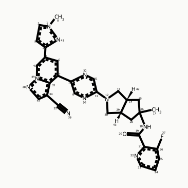 Cn1ccc(-c2cc(-c3cnc(N4C[C@@H]5CC(C)(NC(=O)c6ncccc6F)C[C@@H]5C4)cn3)c3c(C#N)cnn3c2)n1